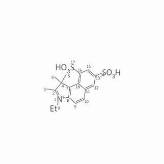 CC[N+]1=C(C)C(C)(C)c2c1ccc1cc(S(=O)(=O)O)cc(S(=O)(=O)O)c21